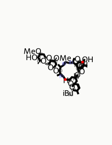 CC[C@H](C)[C@@H]1OC2(C=CC1C)C[C@H]1C[C@H](C/C=C(\C)[C@@H](OC3C[C@H](OC)[C@H](OC4C[C@H](OC)[C@H](O)[C@H](C)O4)[C@H](C)O3)C(C)/C=C/C=C3\CO[C@@H]4C(O)C(C)=C[C@@H](C(=O)O1)[C@@]34O)O2